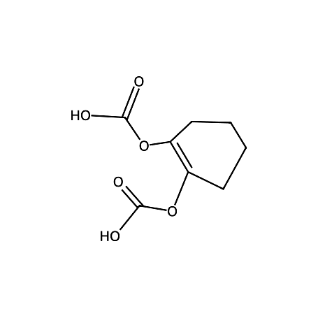 O=C(O)OC1=C(OC(=O)O)CCCC1